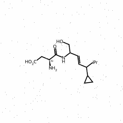 CC(C)C(C=CC(CO)NC(=O)[C@@H](N)CC(=O)O)C1CC1